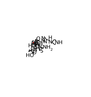 Nc1nc(/C(=N/OC2(C(=O)O)CC2)C(=O)N[C@H]2C3OC2(Cn2ncc(CNC4CCNCC4)n2)N3S(=O)(=O)O)cs1